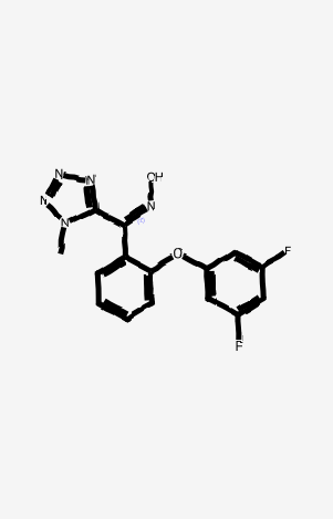 Cn1nnnc1/C(=N\O)c1ccccc1Oc1cc(F)cc(F)c1